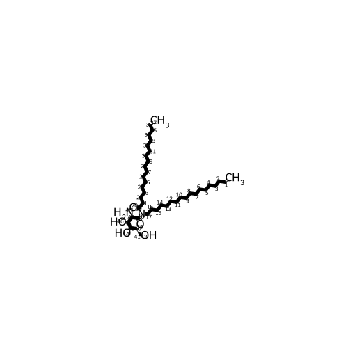 CCCCCCCCCCCCCCCCCCN(C(=O)CCCCCCCCCCCCCCCCC)[C@@H]1O[C@H](CO)[C@@H](O)[C@H](O)[C@@H]1N